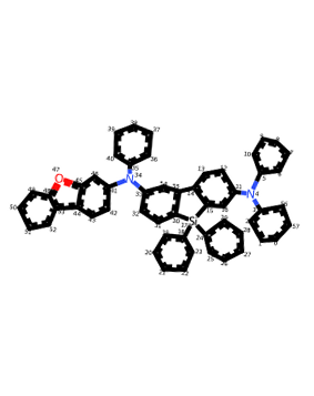 c1ccc(N(c2ccccc2)c2ccc3c(c2)[Si](c2ccccc2)(c2ccccc2)c2ccc(N(c4ccccc4)c4ccc5c(c4)oc4ccccc45)cc2-3)cc1